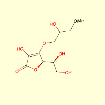 COCC(O)COC1=C(O)C(=O)O[C@@H]1[C@@H](O)CO